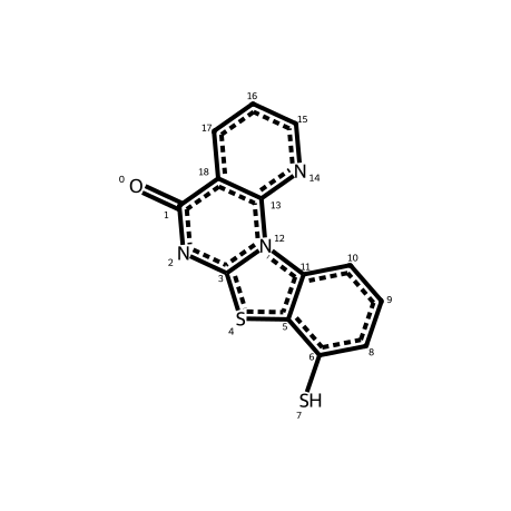 O=c1nc2sc3c(S)cccc3n2c2ncccc12